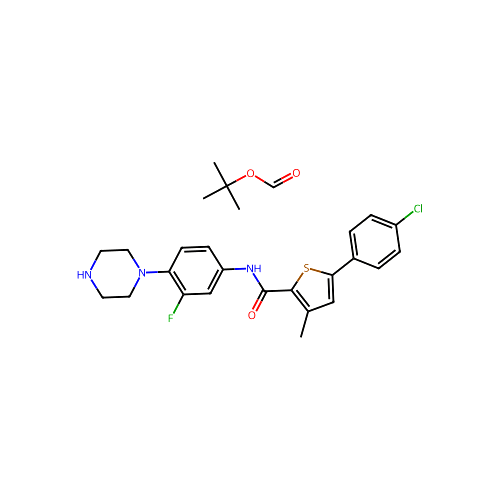 CC(C)(C)OC=O.Cc1cc(-c2ccc(Cl)cc2)sc1C(=O)Nc1ccc(N2CCNCC2)c(F)c1